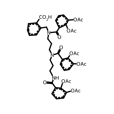 CC(=O)Oc1cccc(C(=O)NCCCN(CCCN(Cc2ccccc2C(=O)O)C(=O)c2cccc(OC(C)=O)c2OC(C)=O)C(=O)c2cccc(OC(C)=O)c2OC(C)=O)c1OC(C)=O